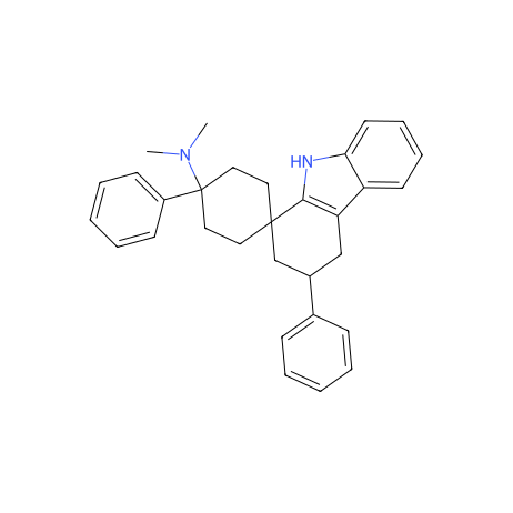 CN(C)C1(c2ccccc2)CCC2(CC1)CC(c1ccccc1)Cc1c2[nH]c2ccccc12